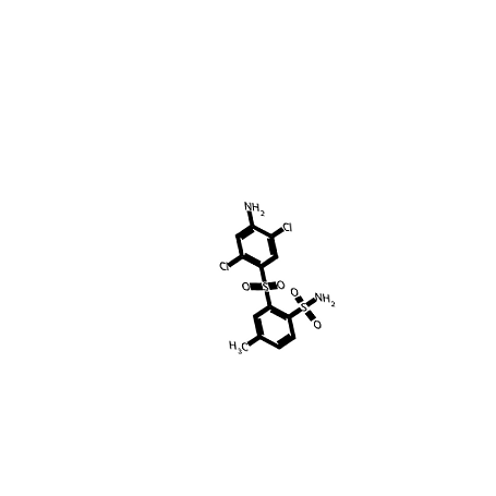 Cc1ccc(S(N)(=O)=O)c(S(=O)(=O)c2cc(Cl)c(N)cc2Cl)c1